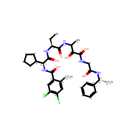 CCCC(NC(=O)[C@H](CC(C)C)NC(=O)[C@@H](NC(=O)c1cc(Cl)c(Cl)cc1C(=O)O)C1CCCC1)C(=O)C(=O)NCC(=O)N[C@H](C(=O)O)c1ccccc1